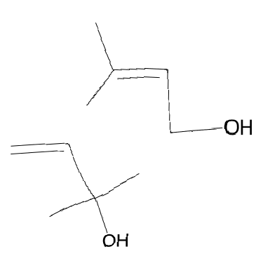 C=CC(C)(C)O.CC(C)=CCO